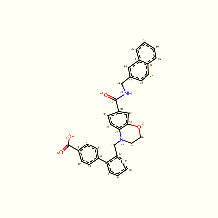 O=C(O)c1ccc(-c2ccccc2CN2CCOc3cc(C(=O)NCc4ccc5ccccc5c4)ccc32)cc1